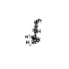 CCCCc1nc2c(N)nc3ccccc3c2n1CCCCNC(=O)CCOCCOCCC